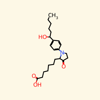 CCCCCC(O)c1ccc(N2CCC(=O)C2CCCCCCC(=O)O)cc1